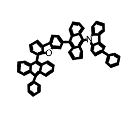 c1ccc(-c2ccc3c(c2)c2ccccc2n3-c2c3ccccc3c(-c3ccc4c(c3)oc3c(-c5c6ccccc6c(-c6ccccc6)c6ccccc56)cccc34)c3ccccc23)cc1